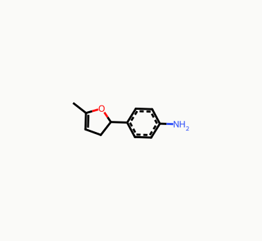 CC1=CCC(c2ccc(N)cc2)O1